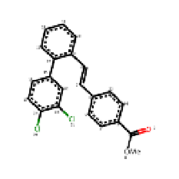 COC(=O)c1ccc(C=Cc2ccccc2-c2ccc(Cl)c(Cl)c2)cc1